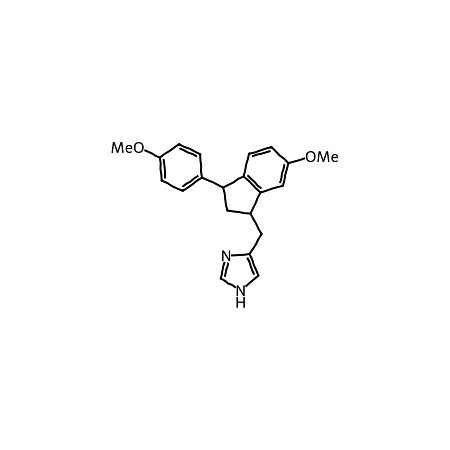 COc1ccc(C2CC(Cc3c[nH]cn3)c3cc(OC)ccc32)cc1